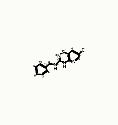 Clc1cnc2c(c1)SN=C(NCc1ccccc1)N2